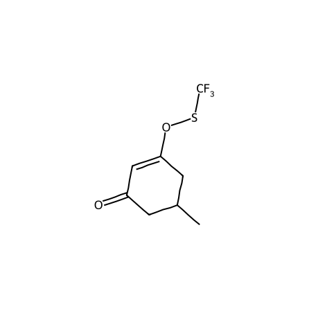 CC1CC(=O)C=C(OSC(F)(F)F)C1